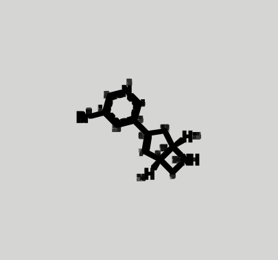 Brc1cncc(C2=C[C@H]3CN[C@H]3C2)c1